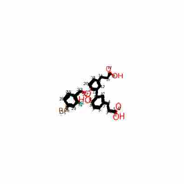 O=C(O)CCc1ccc(O)c(-c2cc(CCC(=O)O)ccc2OCc2ccc(Br)cc2F)c1